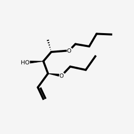 C=C[C@H](OCCC)[C@@H](O)[C@H](C)OCCCC